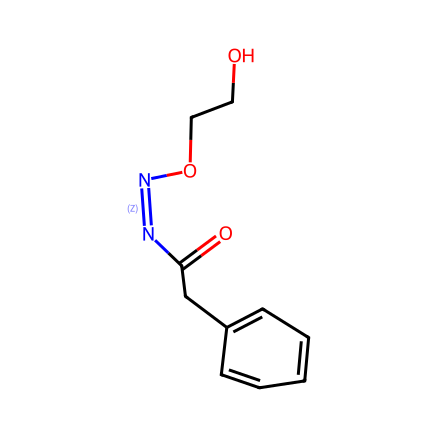 O=C(Cc1ccccc1)/N=N\OCCO